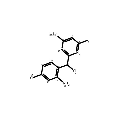 COc1cc(C)nc(C(Cl)c2ccc(Cl)cc2N)n1